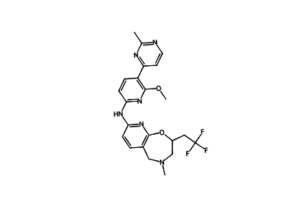 COc1nc(Nc2ccc3c(n2)OC(CC(F)(F)F)CN(C)C3)ccc1-c1ccnc(C)n1